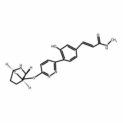 CNC(=O)/C=C/c1ccc(-c2ccc(S[C@H]3C[C@H]4CC[C@@H]3CN4)nn2)c(O)c1